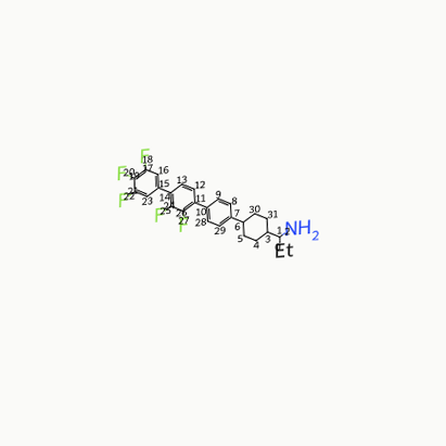 CCC(N)C1CCC(c2ccc(-c3ccc(-c4cc(F)c(F)c(F)c4)c(F)c3F)cc2)CC1